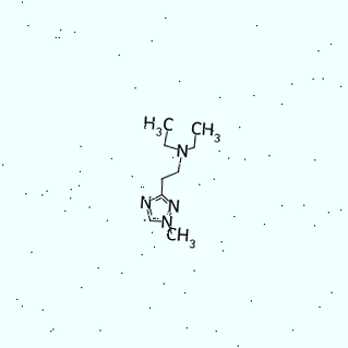 CCN(CC)CCc1n[c]n(C)n1